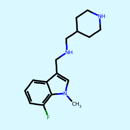 Cn1cc(CNCC2CCNCC2)c2cccc(F)c21